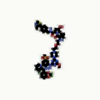 COc1nc(Nc2cc(S(C)(=O)=O)ccc2N[C@@H](c2cccc3c2OC(F)(F)O3)c2ncccc2Cl)nc(N2CCN(CCOCCN[C@H](C(=O)N3C[C@H](O)C[C@H]3C(=O)NCc3ccc(-c4scnc4C)cc3)C(C)(C)C)CC2)n1